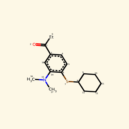 CCC(=O)c1ccc(SC2CCCCC2)c(N(C)C)c1